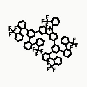 FC(F)(F)c1ccccc1-c1ccccc1-c1cc(-c2ccc3c(c2)c2cc(-c4cc(-c5ccccc5-c5ccccc5C(F)(F)F)cc(-c5ccccc5-c5ccccc5C(F)(F)F)c4)ccc2n3-c2ccccc2C(F)(F)F)cc(-c2ccccc2-c2ccccc2C(F)(F)F)c1